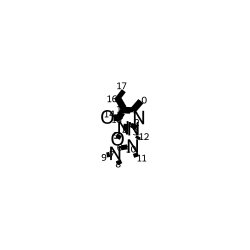 C=c1nnn(OC(N(C)C)N(C)C)c(=O)/c1=C/C